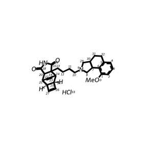 COc1cccc2c1C1CN(CCCCC34C(=O)NC(=O)C3C3C=CC4[C@@H]4C=C[C@@H]34)CC1CC2.Cl